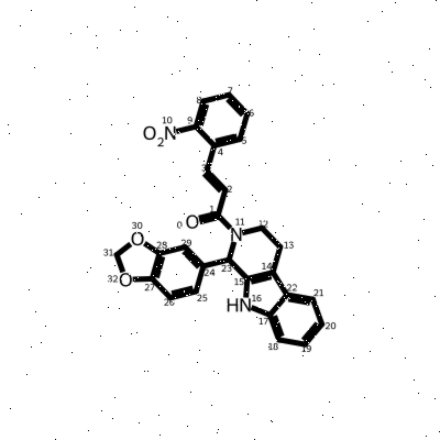 O=C(C=Cc1ccccc1[N+](=O)[O-])N1CCc2c([nH]c3ccccc23)C1c1ccc2c(c1)OCO2